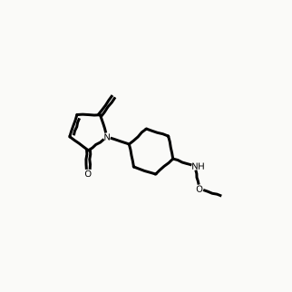 C=C1C=CC(=O)N1C1CCC(NOC)CC1